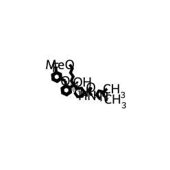 COCCCC[C@@](O)(c1ccccc1Oc1cccc(F)c1)[C@@H]1CCCN(C(=O)N[C@H]2CC(C)N(C)C2)C1